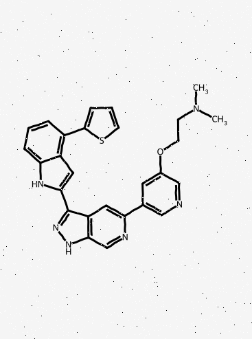 CN(C)CCOc1cncc(-c2cc3c(-c4cc5c(-c6cccs6)cccc5[nH]4)n[nH]c3cn2)c1